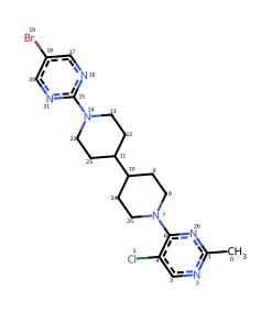 Cc1ncc(Cl)c(N2CCC(C3CCN(c4ncc(Br)cn4)CC3)CC2)n1